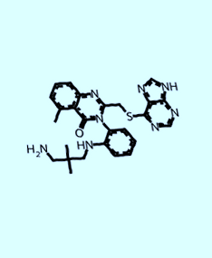 Cc1cccc2nc(CSc3ncnc4[nH]cnc34)n(-c3ccccc3NCC(C)(C)CN)c(=O)c12